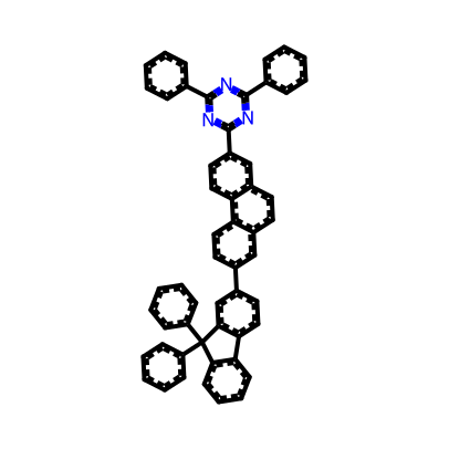 c1ccc(-c2nc(-c3ccccc3)nc(-c3ccc4c(ccc5cc(-c6ccc7c(c6)C(c6ccccc6)(c6ccccc6)c6ccccc6-7)ccc54)c3)n2)cc1